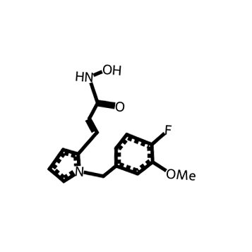 COc1cc(Cn2cccc2C=CC(=O)NO)ccc1F